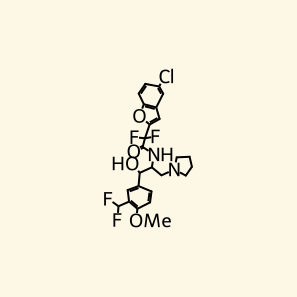 COc1ccc(C(O)C(CN2CCCC2)NC(=O)C(F)(F)c2cc3cc(Cl)ccc3o2)cc1C(F)F